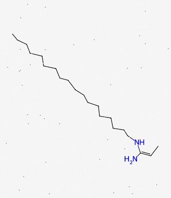 CC=C(N)NCCCCCCCCCCCCCCCCCC